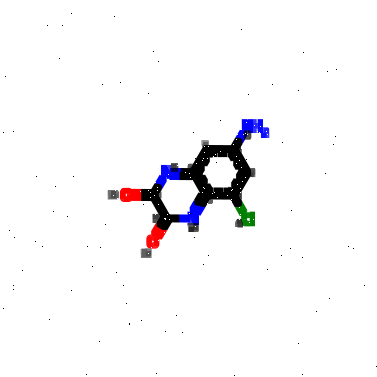 Nc1cc(Cl)c2c(c1)=NC(=O)C(=O)N=2